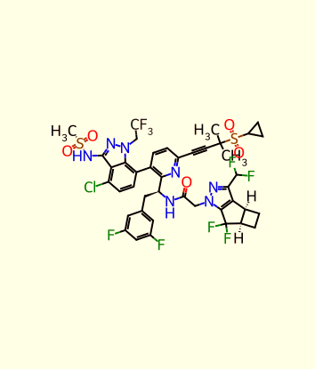 CC(C)(C#Cc1ccc(-c2ccc(Cl)c3c(NS(C)(=O)=O)nn(CC(F)(F)F)c23)c([C@H](Cc2cc(F)cc(F)c2)NC(=O)Cn2nc(C(F)F)c3c2C(F)(F)[C@@H]2CC[C@H]32)n1)S(=O)(=O)C1CC1